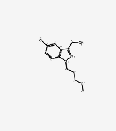 COCCCn1nc(CO)c2cc(Cl)ccc21